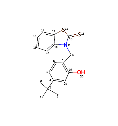 CC(C)(C)c1ccc(Cn2c(=S)sc3ccccc32)c(O)c1